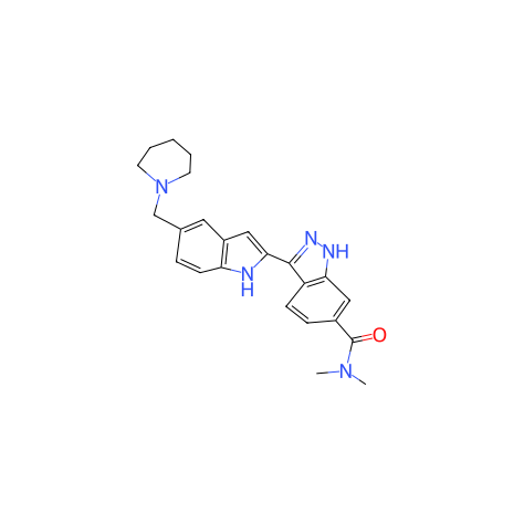 CN(C)C(=O)c1ccc2c(-c3cc4cc(CN5CCCCC5)ccc4[nH]3)n[nH]c2c1